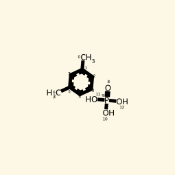 Cc1cccc(C)c1.O=P(O)(O)O